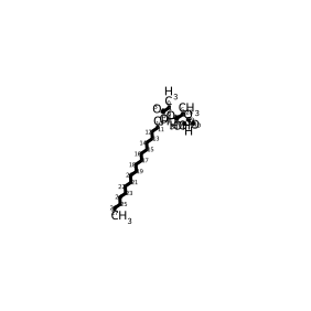 CCC(=O)O.CCC(=O)O.CCCCCCCCCCCCCCCCCC.O=[SH](=O)O